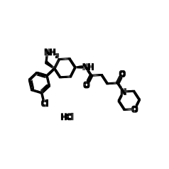 Cl.NC[C@]1(c2cccc(Cl)c2)CC[C@H](NC(=O)CCC(=O)N2CCOCC2)CC1